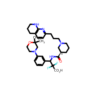 CC1(C)CN(c2cccc(C(NC(=O)[C@@H]3CCCN(CCCc4ccc5c(n4)NCCC5)C3)C(F)(F)C(=O)O)c2)CCO1